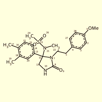 COc1ccc(CCN2C(=O)NCC2(c2ccc(C)c(C)c2)N(C)S(C)(=O)=O)cc1